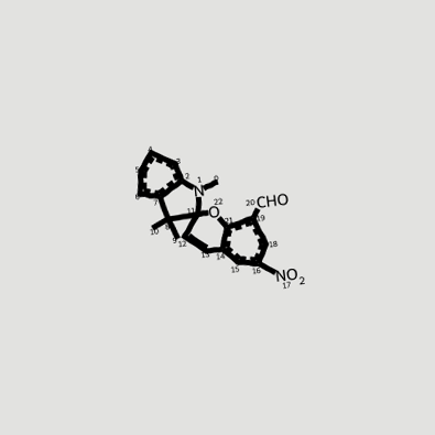 CN1c2ccccc2C(C)(C)C12C=Cc1cc([N+](=O)[O-])cc(C=O)c1O2